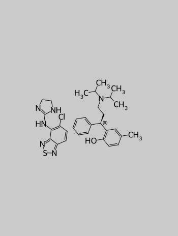 Cc1ccc(O)c([C@H](CCN(C(C)C)C(C)C)c2ccccc2)c1.Clc1ccc2nsnc2c1NC1=NCCN1